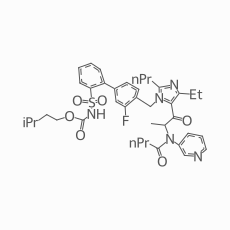 CCCC(=O)N(c1cccnc1)C(C)C(=O)c1c(CC)nc(CCC)n1Cc1ccc(-c2ccccc2S(=O)(=O)NC(=O)OCCC(C)C)cc1F